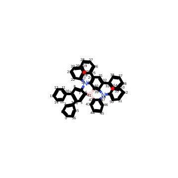 c1ccc(-c2cc3c(cc2-c2ccccc2)N(c2ccccc2)c2c(-c4ccccc4)cc(-c4ccccc4)c4c2B3c2ccccc2N4c2ccccc2)cc1